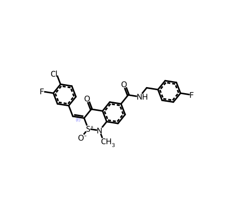 CN1c2ccc(C(=O)NCc3ccc(F)cc3)cc2C(=O)/C(=C\c2ccc(Cl)c(F)c2)[S+]1[O-]